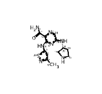 Cc1cc(Nc2nc(N[C@@H]3CCNC3)cnc2C(N)=O)sn1